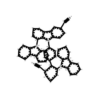 N#Cc1ccc2c(c1)c1cccc(-n3c4ccccc4c4ccccc43)c1n2-c1ccc(-c2c(C#N)cccc2-n2c3ccccc3c3ccccc32)cc1